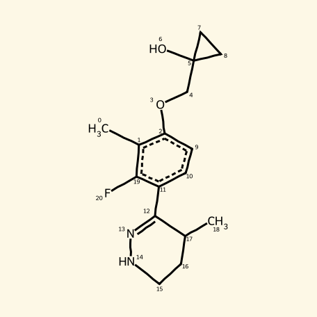 Cc1c(OCC2(O)CC2)ccc(C2=NNCCC2C)c1F